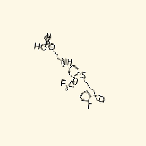 O=[PH](O)OCCCNCc1ccc(SCCCCC2(c3ccccc3F)COC2)c(OC(F)(F)F)c1